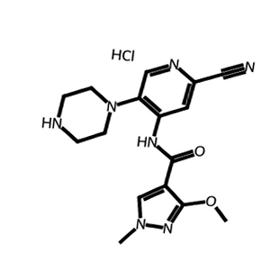 COc1nn(C)cc1C(=O)Nc1cc(C#N)ncc1N1CCNCC1.Cl